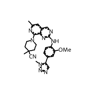 COc1cc(-c2cnnn2C)ccc1Nc1ncc2cc(C)nc(N3CCC(C)(C#N)CC3)c2n1